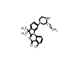 COC[C@@H]1CN(c2ccc3c(c2)-n2c(nc(=O)c4c(Cl)cccc42)C3(C)C)CCN1